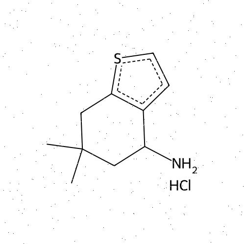 CC1(C)Cc2sccc2C(N)C1.Cl